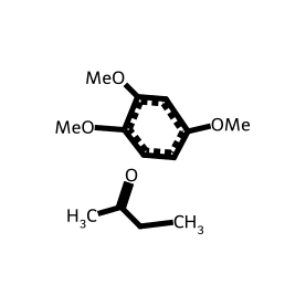 CCC(C)=O.COc1ccc(OC)c(OC)c1